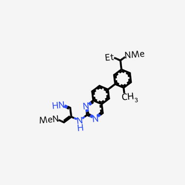 CCC(NC)c1ccc(C)c(-c2ccc3nc(N/C(C=N)=C/NC)ncc3c2)c1